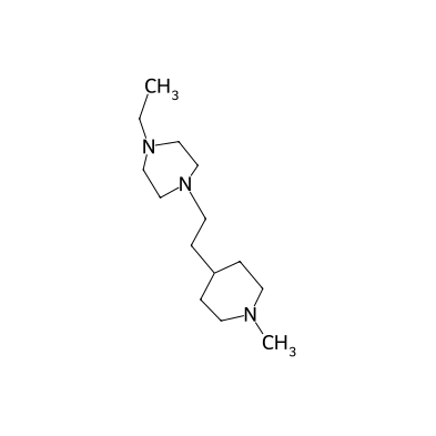 CCN1CCN(CCC2CCN(C)CC2)CC1